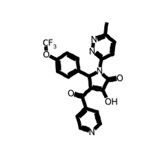 Cc1ccc(N2C(=O)C(O)=C(C(=O)c3ccncc3)C2c2ccc(OC(F)(F)F)cc2)nn1